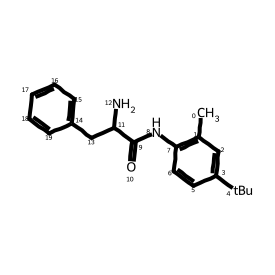 Cc1cc(C(C)(C)C)ccc1NC(=O)C(N)Cc1ccccc1